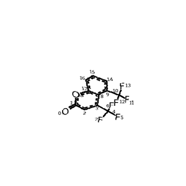 O=c1cc(C(F)(F)F)c2c(C(F)(F)F)cccc2o1